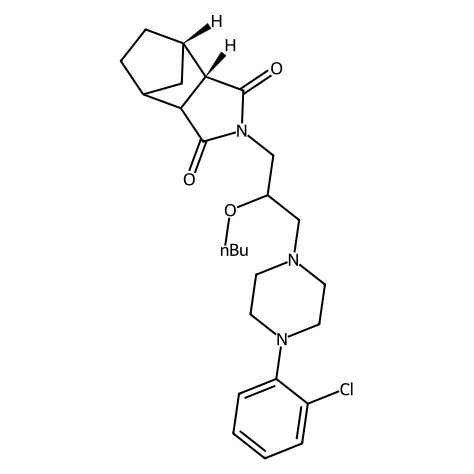 CCCCOC(CN1CCN(c2ccccc2Cl)CC1)CN1C(=O)C2C3CC[C@@H](C3)[C@@H]2C1=O